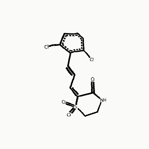 O=C1NCCS(=O)(=O)/C1=C/C=C/c1c(Cl)cccc1Cl